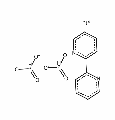 O=[PH]([O-])[O-].O=[PH]([O-])[O-].[Pt+4].c1ccc(-c2ccccn2)nc1